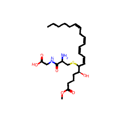 CCCCC/C=C\C\C=C/C=C\C=C/C(SCC(N)C(=O)NCC(=O)O)[C@@H](O)CCCC(=O)OC